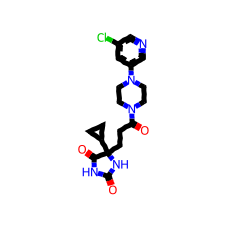 O=C1NC(=O)C(CCC(=O)N2CCN(c3cncc(Cl)c3)CC2)(C2CC2)N1